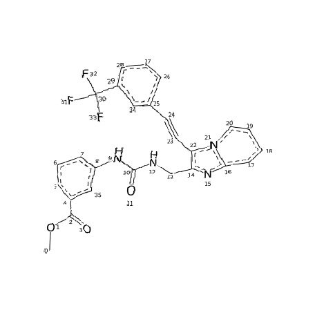 COC(=O)c1cccc(NC(=O)NCc2nc3ccccn3c2C#Cc2cccc(C(F)(F)F)c2)c1